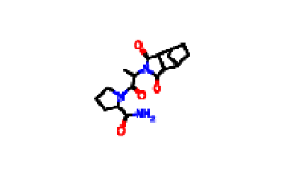 CC(C(=O)N1CCCC1C(N)=O)N1C(=O)C2C3CCC(C3)C2C1=O